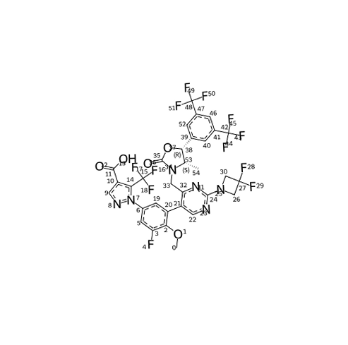 COc1c(F)cc(-n2ncc(C(=O)O)c2C(F)(F)F)cc1-c1cnc(N2CC(F)(F)C2)nc1CN1C(=O)O[C@H](c2cc(C(F)(F)F)cc(C(F)(F)F)c2)[C@@H]1C